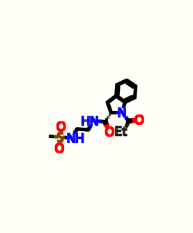 [CH2]CC(=O)N1c2ccccc2C[C@H]1C(=O)NCCNS(C)(=O)=O